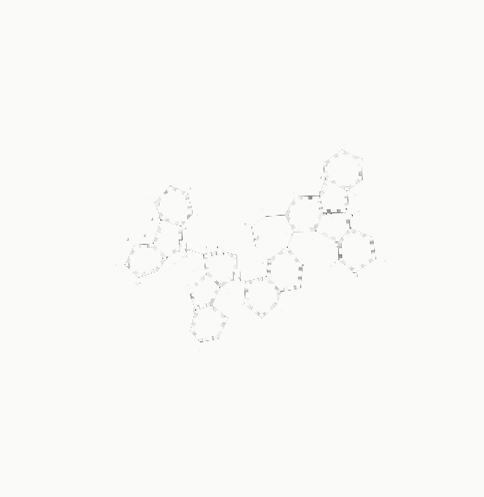 c1ccc2c3c(ccc2c1)-c1c(cc2c4ccccc4n4c5ccccc5c1c24)CC[C@H]3c1nc(-n2c3ccccc3c3ccccc32)c2oc3ccccc3c2n1